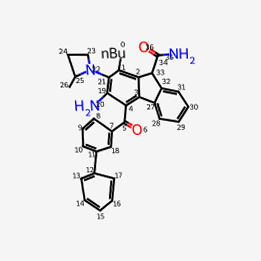 CCCCc1c2c(c(C(=O)c3cccc(-c4ccccc4)c3)c(N)c1N1CCC1C)-c1ccccc1C2C(N)=O